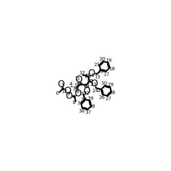 CC(=O)OC[C@@H](OC(C)=O)[C@H]1OC[C@@H](OCc2ccccc2)[C@@H](OCc2ccccc2)[C@@H]1OCc1ccccc1